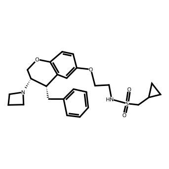 O=S(=O)(CC1CC1)NCCOc1ccc2c(c1)[C@H](Cc1ccccc1)[C@H](N1CCC1)CO2